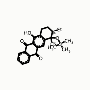 CC[C@@H]1CCc2c(cc3c(c2O)C(=O)c2ccccc2C3=O)C1(C#N)O[Si](C)(C)C